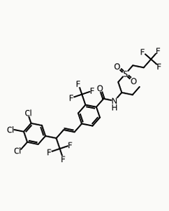 CCC(CS(=O)(=O)CCC(F)(F)F)NC(=O)c1ccc(/C=C/C(c2cc(Cl)c(Cl)c(Cl)c2)C(F)(F)F)cc1C(F)(F)F